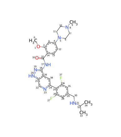 COc1cc(N2CCN(C)CC2)ccc1C(=O)Nc1n[nH]c2cnc(-c3c(F)cc(CNC(C)C)cc3F)cc12